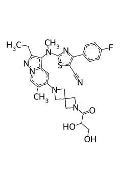 CCc1nn2cc(C)c(N3CC4(CN(C(=O)C(O)CO)C4)C3)cc2c1N(C)c1nc(-c2ccc(F)cc2)c(C#N)s1